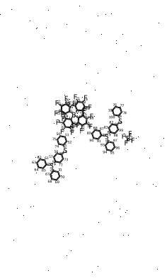 F[B-](F)(F)F.Fc1c(F)c(F)c([B-](c2c(F)c(F)c(F)c(F)c2F)(c2c(F)c(F)c(F)c(F)c2F)c2c(F)c(F)c(F)c(F)c2F)c(F)c1F.c1ccc(Sc2ccc([S+](c3ccccc3)c3ccccc3)cc2)cc1.c1ccc(Sc2ccc([S+](c3ccccc3)c3ccccc3)cc2)cc1